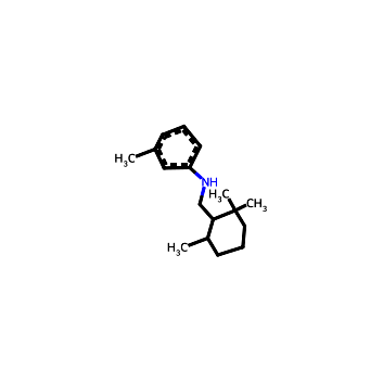 Cc1cccc(NCC2C(C)CCCC2(C)C)c1